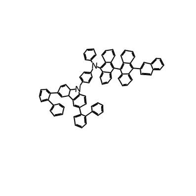 C1=CC2C(C=C1c1ccccc1-c1ccccc1)c1cc(-c3ccccc3-c3ccccc3)ccc1N2c1ccc(N(c2ccccc2)c2c3ccccc3c(-c3c4ccccc4c(-c4ccc5ccccc5c4)c4ccccc34)c3ccccc23)cc1